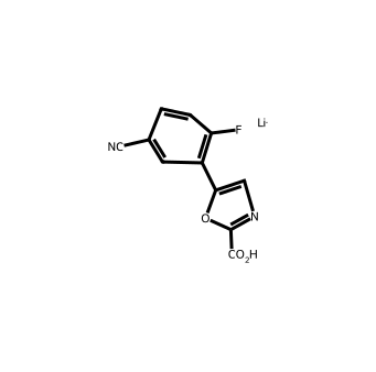 N#Cc1ccc(F)c(-c2cnc(C(=O)O)o2)c1.[Li]